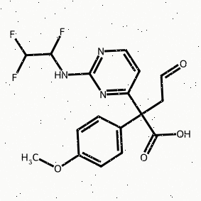 COc1ccc(C(CC=O)(C(=O)O)c2ccnc(NC(F)C(F)F)n2)cc1